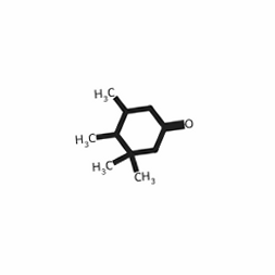 CC1CC(=O)CC(C)(C)C1C